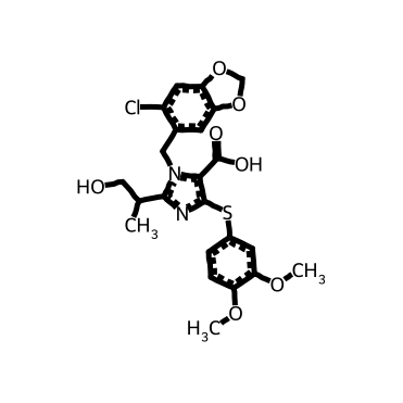 COc1ccc(Sc2nc(C(C)CO)n(Cc3cc4c(cc3Cl)OCO4)c2C(=O)O)cc1OC